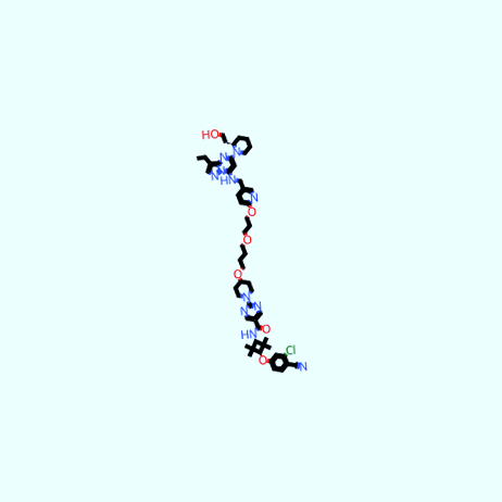 CCc1cnn2c(NCc3ccc(OCCCOCCCCOC4CCN(c5ncc(C(=O)N[C@H]6C(C)(C)[C@H](Oc7ccc(C#N)c(Cl)c7)C6(C)C)cn5)CC4)nc3)cc(N3CCCC[C@H]3CCO)nc12